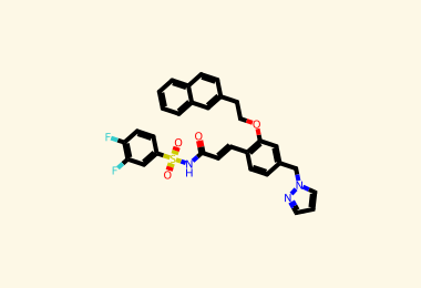 O=C(/C=C/c1ccc(Cn2cccn2)cc1OCCc1ccc2ccccc2c1)NS(=O)(=O)c1ccc(F)c(F)c1